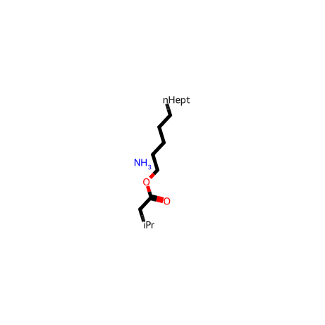 CCCCCCCCCCCCOC(=O)CC(C)C.N